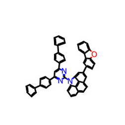 c1ccc(-c2ccc(-c3cc(-c4ccc(-c5ccccc5)cc4)nc(-n4c5cccc6ccc7cc(-c8ccc9oc%10ccccc%10c9c8)cc4c7c65)n3)cc2)cc1